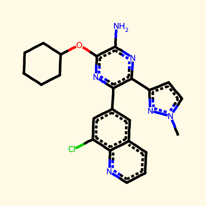 Cn1ccc(-c2nc(N)c(OC3CCCCC3)nc2-c2cc(Cl)c3ncccc3c2)n1